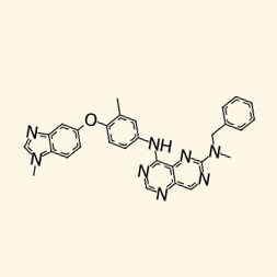 Cc1cc(Nc2ncnc3cnc(N(C)Cc4ccccc4)nc23)ccc1Oc1ccc2c(c1)ncn2C